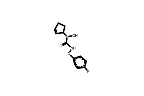 O=C(NOc1ccc(F)cc1)N(O)C1C=CCC1